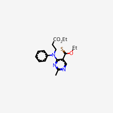 CCOC(=O)CCN(c1ccccc1)c1nc(C)ncc1C(=S)OCC